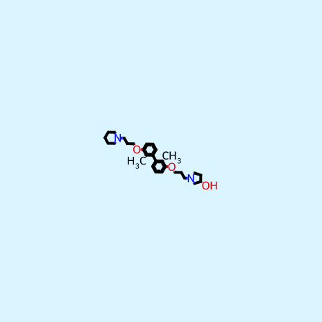 Cc1c(OCCCN2CCCCC2)cccc1-c1cccc(OCCCN2CC[C@@H](O)C2)c1C